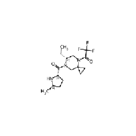 CC[C@@H]1CN(C(=O)C(F)(F)F)C2(CC2)CN1C(=O)[C@@H]1CC[C@@H](C)N1